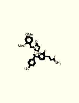 COc1ccc(CN2C(=O)CC[C@@H]2C=C(c2ccc(C(C)(C)C)cc2)c2ccc(CCC(N)=O)c(=O)[nH]2)c(OC)c1